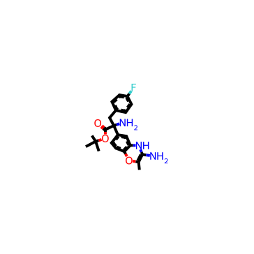 CC1=C(N)Nc2cc(C(N)(Cc3ccc(F)cc3)C(=O)OC(C)(C)C)ccc2O1